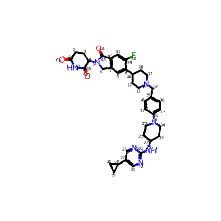 O=C1CCC(N2Cc3cc(C4CCN(Cc5ccc(N6CCC(Nc7ncc(C8CC8)cn7)CC6)cc5)CC4)c(F)cc3C2=O)C(=O)N1